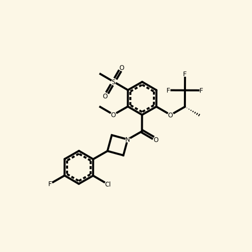 COc1c(S(C)(=O)=O)ccc(O[C@@H](C)C(F)(F)F)c1C(=O)N1CC(c2ccc(F)cc2Cl)C1